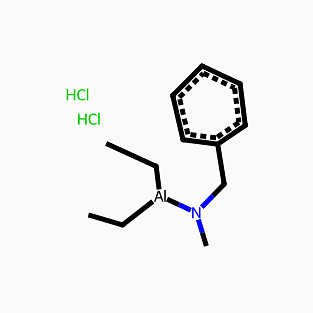 C[CH2][Al]([CH2]C)[N](C)Cc1ccccc1.Cl.Cl